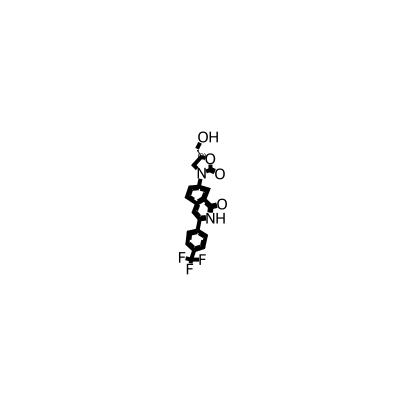 O=C1O[C@@H](CO)CN1c1ccc2cc(-c3ccc(C(F)(F)F)cc3)[nH]c(=O)c2c1